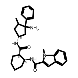 CC1C[C@@H](NC(=O)[C@@H]2CCCC[C@@H]2NC(=O)c2cc3ccccc3n2C)CC1(N)c1ccccc1